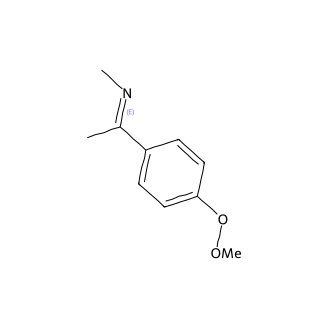 C/N=C(\C)c1ccc(OOC)cc1